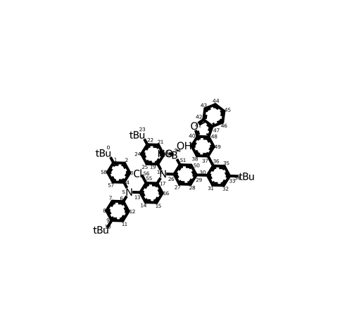 CC(C)(C)c1ccc(N(c2ccc(C(C)(C)C)cc2)c2cccc(N(c3ccc(C(C)(C)C)cc3)c3ccc(-c4ccc(C(C)(C)C)cc4-c4ccc5oc6ccccc6c5c4)cc3B(O)O)c2Cl)cc1